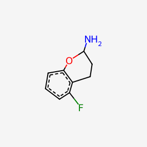 NC1CCc2c(F)cccc2O1